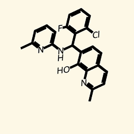 Cc1cccc(NC(c2ccc3ccc(C)nc3c2O)c2c(F)cccc2Cl)n1